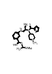 CNC(C)OC(=N)c1cccc(N/C=C(\C=N)N(C(=O)c2cccs2)C2CCN(C)CC2)c1